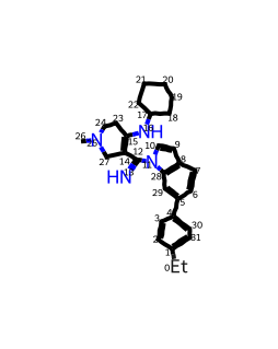 CCc1ccc(-c2ccc3ccn(C(=N)C4=C(NC5CCCCC5)CCN(C)C4)c3c2)cc1